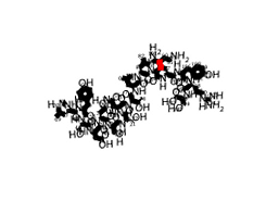 CC(C)CC(NC(=O)[C@@H](NC(=O)C(CC(N)=O)NC(=O)[C@H](CO)NC(=O)C(CO)NC(=O)[C@H](CC(=O)O)NC(=O)C(CC(=O)O)NC(=O)[C@H](CO)NC(=O)C(Cc1ccc(O)cc1)NC(=O)[C@H](CC(C)C)NN)[C@@H](C)O)C(=O)N[C@@H](CC(C)C)C(=O)NC(CCCCN)C(=O)N[C@@H](CCCCN)C(=O)NC(Cc1ccc(O)cc1)C(=O)N[C@@H](CCCNC(=N)N)C(=O)NC(CO)C(=O)O